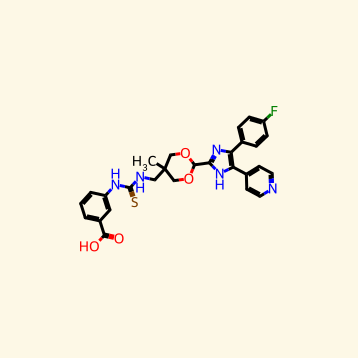 CC1(CNC(=S)Nc2cccc(C(=O)O)c2)COC(c2nc(-c3ccc(F)cc3)c(-c3ccncc3)[nH]2)OC1